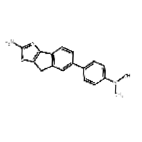 CN(C)c1ccc(-c2ccc3c(c2)Cc2sc(N)nc2-3)cc1